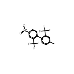 Cc1ccc(-c2ccc([N+](=O)[O-])cc2C(F)(F)F)c(C(F)(F)F)c1